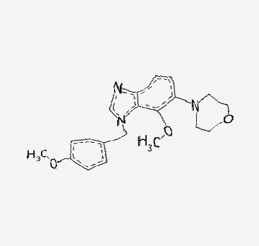 COc1ccc(Cn2cnc3ccc(N4CCOCC4)c(OC)c32)cc1